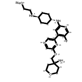 COCCN[C@H]1CC[C@H](Nc2cc(-c3cncc(OCC4(N)CCOCC4)n3)c(F)cn2)CC1